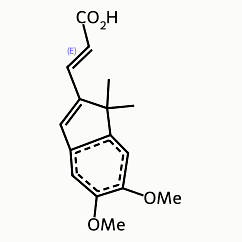 COc1cc2c(cc1OC)C(C)(C)C(/C=C/C(=O)O)=C2